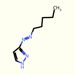 CCCCCN=Nc1cc[nH]n1